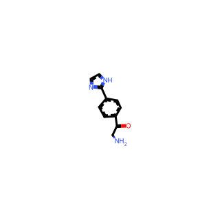 NCC(=O)c1ccc(-c2ncc[nH]2)cc1